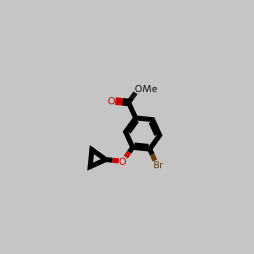 COC(=O)c1ccc(Br)c(OC2CC2)c1